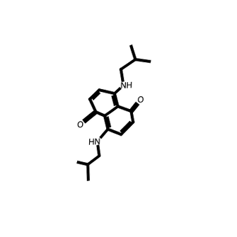 CC(C)CNC1=C2C(=O)C=CC(NCC(C)C)=C2C(=O)C=C1